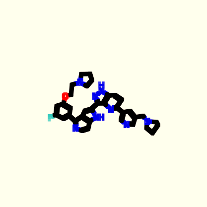 Fc1cc(OCCN2CCCC2)cc(-c2nccc3[nH]c(-c4n[nH]c5ccc(-c6cncc(CN7CCCC7)c6)nc45)cc23)c1